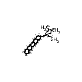 C=CC[Si](C#Cc1ccc2cc3cc4cc5ccccc5cc4cc3cc2c1)(CC=C)CC=C